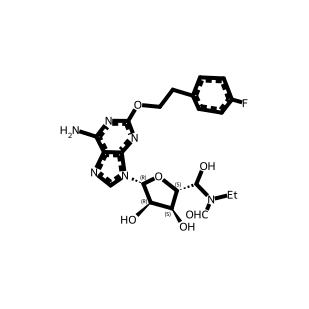 CCN(C=O)C(O)[C@H]1O[C@@H](n2cnc3c(N)nc(OCCc4ccc(F)cc4)nc32)[C@H](O)[C@@H]1O